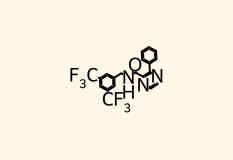 O=C(NCc1cc(C(F)(F)F)cc(C(F)(F)F)c1)c1nccnc1-c1ccccc1